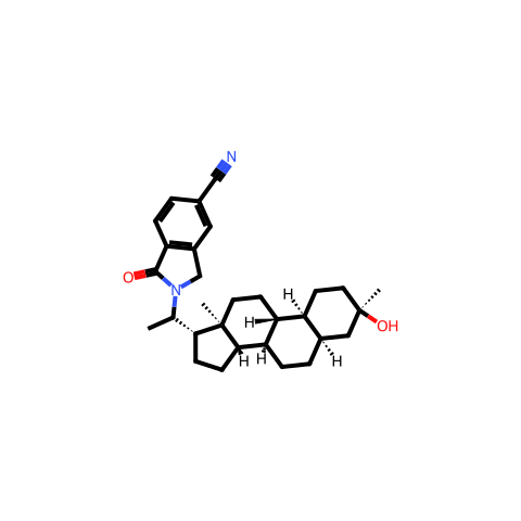 CC([C@H]1CC[C@H]2[C@@H]3CC[C@@H]4C[C@](C)(O)CC[C@@H]4[C@H]3CC[C@]12C)N1Cc2cc(C#N)ccc2C1=O